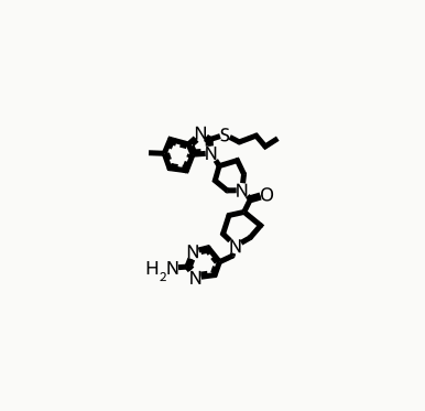 CCCCSc1nc2cc(C)ccc2n1C1CCN(C(=O)C2CCN(Cc3cnc(N)nc3)CC2)CC1